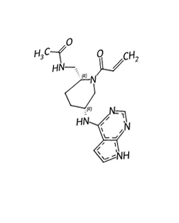 C=CC(=O)N1C[C@H](Nc2ncnc3[nH]ccc23)CC[C@@H]1CNC(C)=O